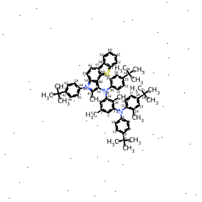 Cc1cc(N(c2ccc(C(C)(C)C)cc2)c2ccc(C(C)(C)C)cc2C)c(C)c(N(c2ccc(C(C)(C)C)cc2)c2c(C)n(-c3ccc(C(C)(C)C)cc3)c3ccc4c5ccccc5sc4c23)c1